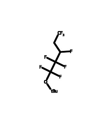 CC(C)(C)OC(F)(F)C(F)(F)C(F)CC(F)(F)F